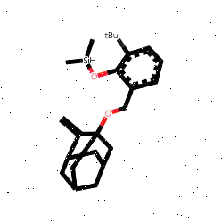 C=C1C2CC3CC(C2)CC1(OCc1cccc(C(C)(C)C)c1O[SiH](C)C)C3